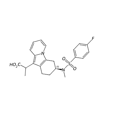 CC(C(=O)O)c1c2c(n3ccccc13)C[C@@H](N(C)S(=O)(=O)c1ccc(F)cc1)CC2